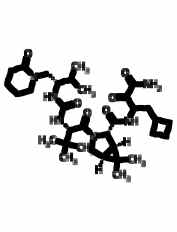 CC(C)[C@@H](CN1CCCCC1=O)NC(=O)N[C@H](C(=O)N1C[C@H]2[C@@H]([C@H]1C(=O)NC(CC1CCC1)C(=O)C(N)=O)C2(C)C)C(C)(C)C